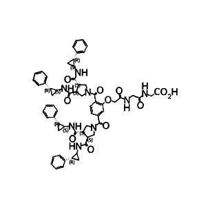 O=C(O)CNC(=O)CNC(=O)COc1cc(C(=O)N2C[C@@H](C(=O)NC3C[C@@H]3c3ccccc3)[C@H](C(=O)N[C@H]3C[C@@H]3c3ccccc3)C2)ccc1C(=O)N1C[C@@H](C(=O)N[C@H]2C[C@@H]2c2ccccc2)[C@H](C(=O)N[C@H]2C[C@@H]2c2ccccc2)C1